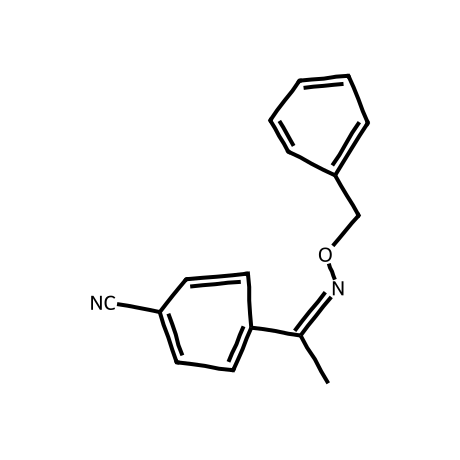 CC(=NOCc1ccccc1)c1ccc(C#N)cc1